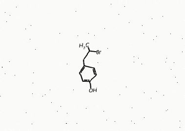 CC(Br)Cc1ccc(O)cc1